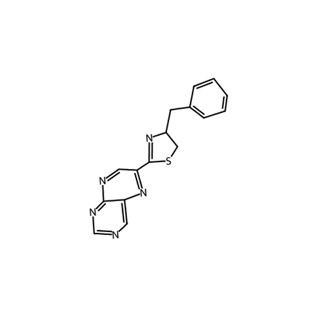 c1ccc(CC2CSC(c3cnc4ncncc4n3)=N2)cc1